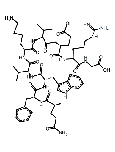 CC(C)[C@H](NC(=O)[C@H](CCCCN)NC(=O)[C@@H](NC(=O)[C@H](Cc1c[nH]c2ccccc12)NC(=O)[C@H](Cc1ccccc1)NC(=O)[C@@H](C)CCC(N)=O)C(C)C)C(=O)C[C@@H](CCC(=O)O)C(=O)N[C@@H](CCCNC(=N)N)C(=O)NCC(=O)O